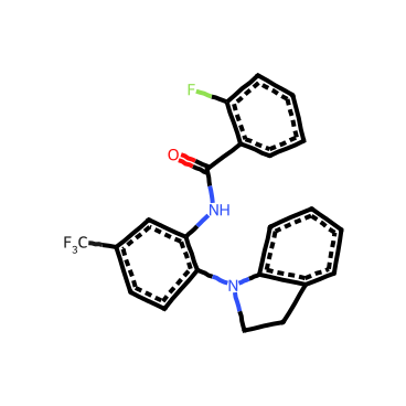 O=C(Nc1cc(C(F)(F)F)ccc1N1CCc2ccccc21)c1ccccc1F